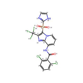 O=C(Nc1cccn2c(S(=O)(=O)c3ncc[nH]3)c(C(F)(F)F)nc12)c1c(Cl)cccc1Cl